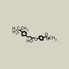 COC(=O)c1ccc(OC[C@H](O)CCc2ccc(C(C)(C)C)cc2)cc1